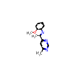 COc1ccccc1N=C(C)c1cc(C)ncn1